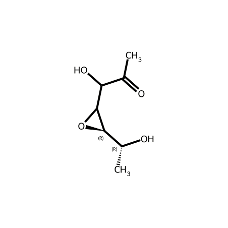 CC(=O)C(O)C1O[C@@H]1[C@@H](C)O